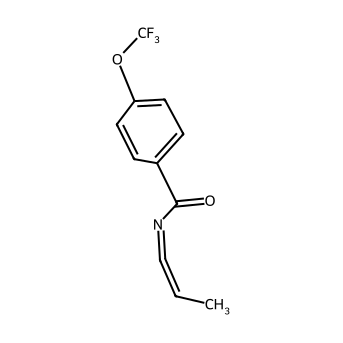 CC=C=NC(=O)c1ccc(OC(F)(F)F)cc1